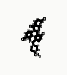 CN1CCN(Cc2ccc(Cl)c(-c3nc4cc(Cl)ccc4c(=O)n3-c3ccc(Cl)c(F)c3)c2)CC1